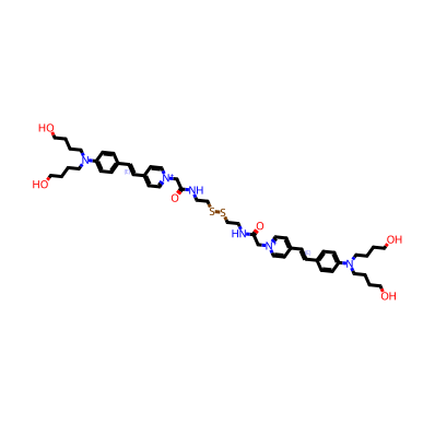 O=C(C[n+]1ccc(/C=C/c2ccc(N(CCCCO)CCCCO)cc2)cc1)NCCSSCCNC(=O)C[n+]1ccc(/C=C/c2ccc(N(CCCCO)CCCCO)cc2)cc1